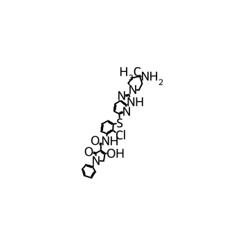 CC1(N)CCN(c2nc3ccc(Sc4cccc(NC(=O)C5=C(O)CN(c6ccccc6)C5=O)c4Cl)nc3[nH]2)CC1